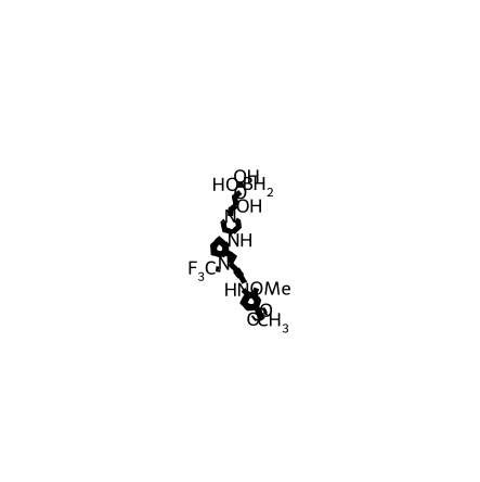 BC(O)(O)OCC(O)CN1CCC(Nc2cccc3c2cc(C#CCNc2ccc(S(C)(=O)=O)cc2OC)n3CC(F)(F)F)CC1